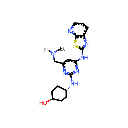 CCN(Cc1cc(Nc2nc3cccnc3s2)nc(N[C@H]2CC[C@H](O)CC2)n1)C(C)C